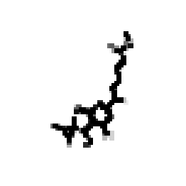 COC(=O)/C=C/CCC(C)c1cc(O)c(C(=O)C2(C)C(C)C2I)c(=O)o1